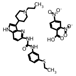 CCCN1CCC(c2c[nH]c3ccc(NC(=O)Nc4cccc(SCC)c4)nc23)CC1.O=C(O)c1ccc([N+](=O)[O-])cc1[N+](=O)[O-]